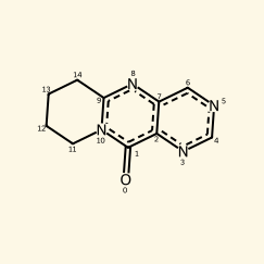 O=c1c2ncncc2nc2n1CCCC2